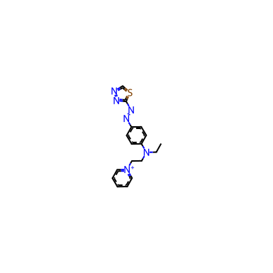 CCN(CC[n+]1ccccc1)c1ccc(/N=N/c2nncs2)cc1